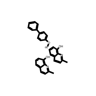 Cc1ccc2cccc(O)c2n1.Cc1ccc2cccc(O)c2n1.[Al][O]c1ccc(-c2ccccc2)cc1